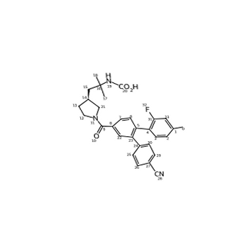 Cc1ccc(-c2ccc(C(=O)N3CC[C@@H](CC(C)(C)NC(=O)O)C3)cc2-c2ccc(C#N)cc2)c(F)c1